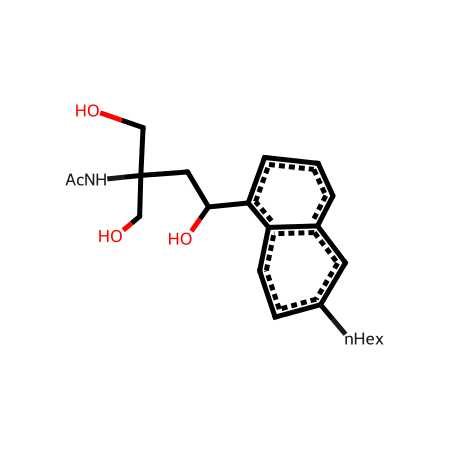 CCCCCCc1ccc2c(C(O)CC(CO)(CO)NC(C)=O)cccc2c1